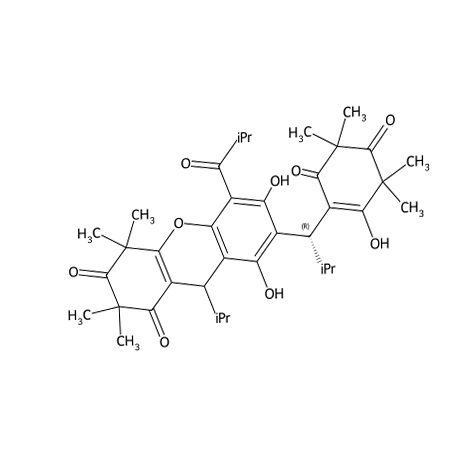 CC(C)C(=O)c1c(O)c([C@H](C2=C(O)C(C)(C)C(=O)C(C)(C)C2=O)C(C)C)c(O)c2c1OC1=C(C(=O)C(C)(C)C(=O)C1(C)C)C2C(C)C